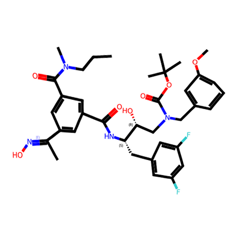 CCCN(C)C(=O)c1cc(C(=O)N[C@@H](Cc2cc(F)cc(F)c2)[C@H](O)CN(Cc2cccc(OC)c2)C(=O)OC(C)(C)C)cc(/C(C)=N/O)c1